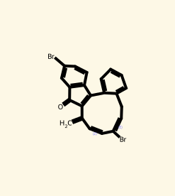 C=C1/C=C\C(Br)=C/Cc2ccccc2C2=C1C(=O)c1cc(Br)ccc12